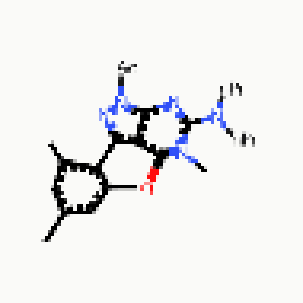 CCCN(CCC)c1nc2c(c(-c3c(C)cc(C)cc3C)nn2C(C)=O)c(=O)n1C